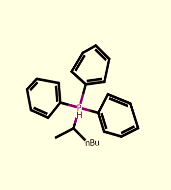 CCCCC(C)[PH](c1ccccc1)(c1ccccc1)c1ccccc1